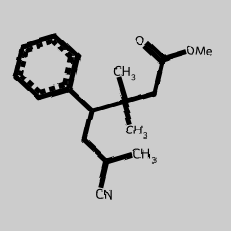 COC(=O)CC(C)(C)C(CC(C)C#N)c1ccccc1